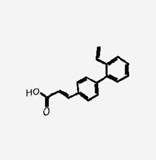 C=Cc1ccccc1-c1ccc(C=CC(=O)O)cc1